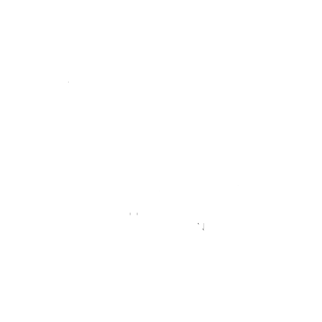 Cc1nc2c(s1)CCc1cc(Cl)ccc1C2=O